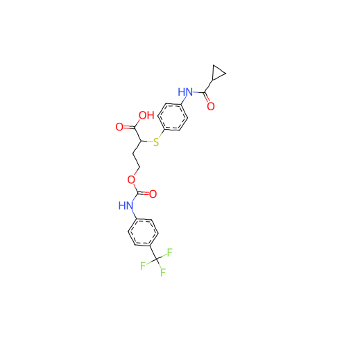 O=C(Nc1ccc(C(F)(F)F)cc1)OCCC(Sc1ccc(NC(=O)C2CC2)cc1)C(=O)O